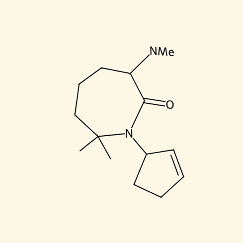 CNC1CCCC(C)(C)N(C2C=CCC2)C1=O